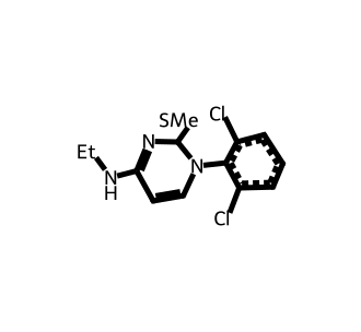 CCNC1=NC(SC)N(c2c(Cl)cccc2Cl)C=C1